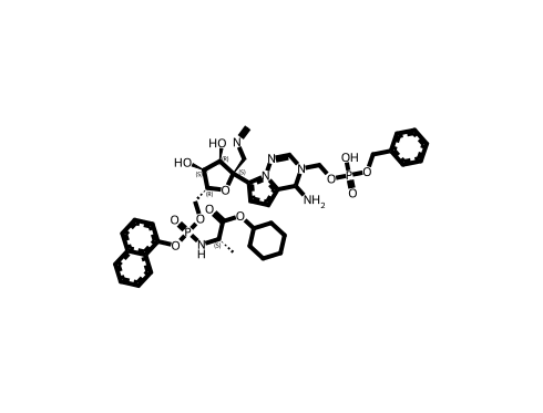 C=NC[C@@]1(c2ccc3n2N=CN(COP(=O)(O)OCc2ccccc2)C3N)O[C@H](COP(=O)(N[C@@H](C)C(=O)OC2CCCCC2)Oc2cccc3ccccc23)[C@@H](O)[C@H]1O